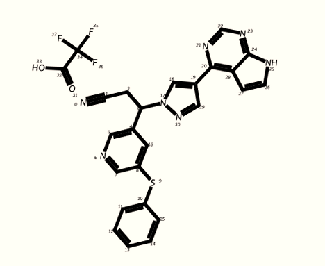 N#CCC(c1cncc(Sc2ccccc2)c1)n1cc(-c2ncnc3[nH]ccc23)cn1.O=C(O)C(F)(F)F